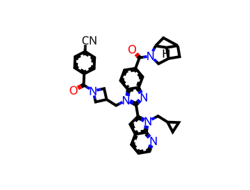 N#Cc1ccc(C(=O)N2CC(Cn3c(-c4cc5cccnc5n4CC4CC4)nc4cc(C(=O)N5CC6CC7CC5[C@H]76)ccc43)C2)cc1